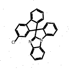 Clc1ccc2c(c1)C1(c3ccccc3-2)c2ccccc2-n2c1nc1ccccc12